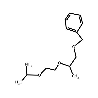 CC(N)OCCOC(C)COCc1ccccc1